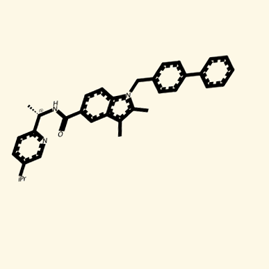 Cc1c(C)n(Cc2ccc(-c3ccccc3)cc2)c2ccc(C(=O)N[C@@H](C)c3ccc(C(C)C)cn3)cc12